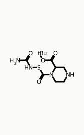 CC(C)(C)OC(=O)C1CNCCN1C(=O)SNC(N)=O